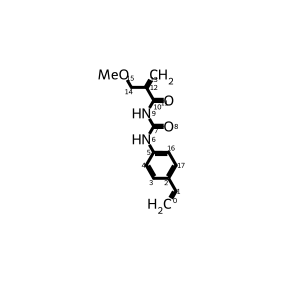 C=Cc1ccc(NC(=O)NC(=O)C(=C)COC)cc1